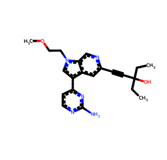 CCC(O)(C#Cc1cc2c(-c3ccnc(N)n3)cn(CCOC)c2cn1)CC